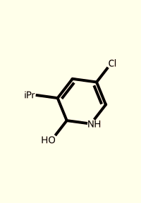 CC(C)C1=CC(Cl)=CNC1O